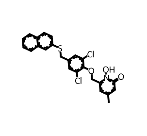 Cc1cc(COc2c(Cl)cc(CSc3ccc4ccccc4c3)cc2Cl)n(O)c(=O)c1